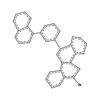 Brc1cc2c3ccccc3c(-c3cccc(-c4cccc5ccccc45)c3)cc2c2ccccc12